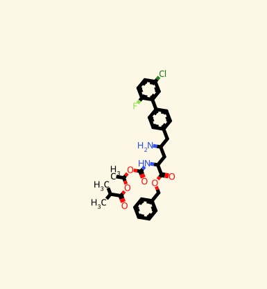 CC(OC(=O)NC(CC(N)Cc1ccc(-c2cc(Cl)ccc2F)cc1)C(=O)OCc1ccccc1)OC(=O)C(C)C